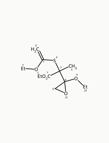 C=C(OCC)SC(C)(C(=O)OCC)C1(OCC)CO1